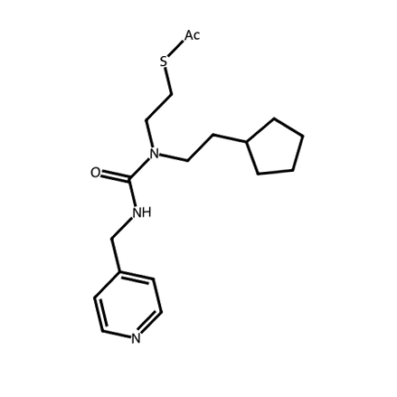 CC(=O)SCCN(CCC1CCCC1)C(=O)NCc1ccncc1